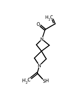 C=CC(=O)N1CC2(CN(C(=C)S)C2)C1